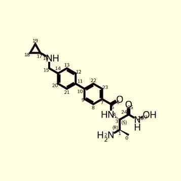 C[C@@H](N)[C@H](NC(=O)c1ccc(-c2ccc(CNC3CC3)cc2)cc1)C(=O)NO